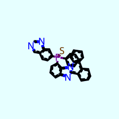 S=P(c1ccccc1)(c1ccc2cncnc2c1)c1cccc2nc3c4ccccc4c4ccccc4n3c12